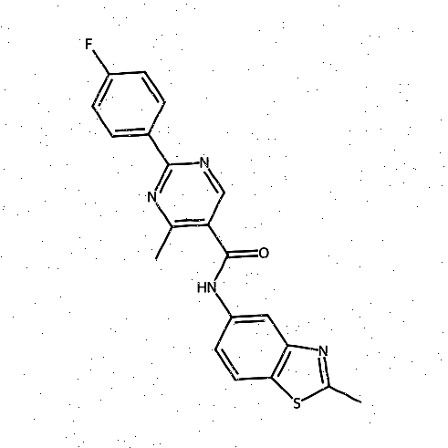 Cc1nc2cc(NC(=O)c3cnc(-c4ccc(F)cc4)nc3C)ccc2s1